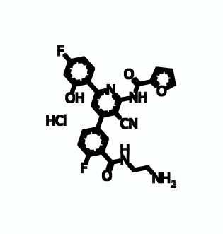 Cl.N#Cc1c(-c2ccc(F)c(C(=O)NCCN)c2)cc(-c2ccc(F)cc2O)nc1NC(=O)c1ccco1